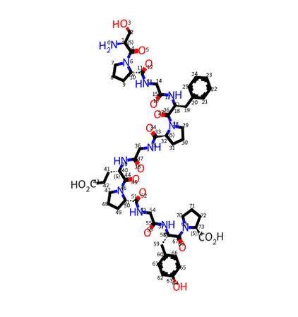 N[C@@H](CO)C(=O)N1CCC[C@H]1C(=O)NCC(=O)N[C@@H](Cc1ccccc1)C(=O)N1CCC[C@H]1C(=O)NCC(=O)N[C@@H](CCC(=O)O)C(=O)N1CCC[C@H]1C(=O)NCC(=O)N[C@@H](Cc1ccc(O)cc1)C(=O)N1CCC[C@H]1C(=O)O